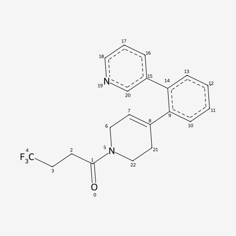 O=C(CCC(F)(F)F)N1CC=C(c2cc[c]cc2-c2cccnc2)CC1